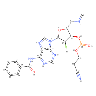 C=NC[C@H]1OC(n2cnc3c(NC(=O)c4ccccc4)ncnc32)[C@H](F)[C@@H]1O[PH](=O)OCCC#N